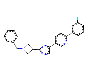 Fc1cccc(-c2ccc(-c3c[nH]c(C4CN(Cc5ccccc5)C4)n3)cn2)c1